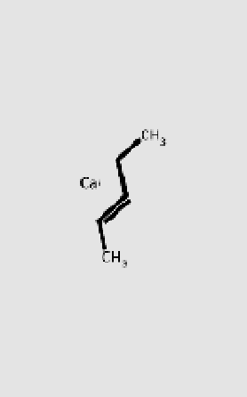 CC=CCC.[Ca]